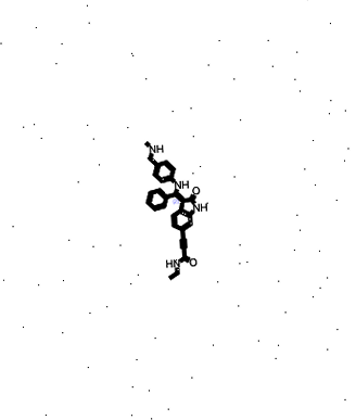 CCNC(=O)C#Cc1ccc2c(c1)NC(=O)/C2=C(\Nc1ccc(CNC)cc1)c1ccccc1